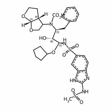 CS(=O)(=O)Nc1nc2ccc(S(=O)(=O)N[C@@H](OC3CCCC3)[C@H](O)[C@H](Cc3ccccc3)N(C(=O)O)C3CO[C@@H]4OCC[C@H]34)cc2[nH]1